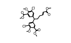 COC(=O)C=CCCC(c1cc(Cl)c(OC)c(C(=O)OC)c1)c1cc(Cl)c(OC)c(C(=O)OC)c1